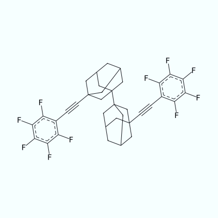 Fc1c(F)c(F)c(C#CC23CC4CC(C2)CC(C25CC6CC(CC(C#Cc7c(F)c(F)c(F)c(F)c7F)(C6)C2)C5)(C4)C3)c(F)c1F